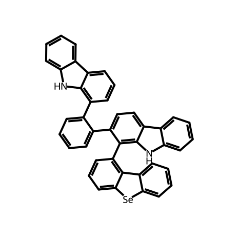 c1ccc(-c2cccc3c2[nH]c2ccccc23)c(-c2ccc3c([nH]c4ccccc43)c2-c2cccc3[se]c4ccccc4c23)c1